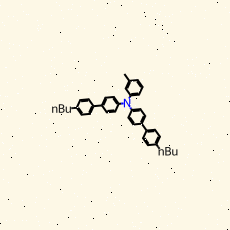 CCCCc1ccc(-c2ccc(N(c3ccc(-c4ccc(CCCC)cc4)cc3)c3cccc(C)c3)cc2)cc1